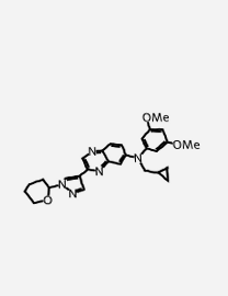 COc1cc(OC)cc(N(CC2CC2)c2ccc3ncc(-c4cnn(C5CCCCO5)c4)nc3c2)c1